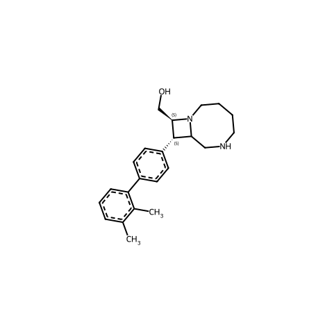 Cc1cccc(-c2ccc([C@H]3C4CNCCCCN4[C@@H]3CO)cc2)c1C